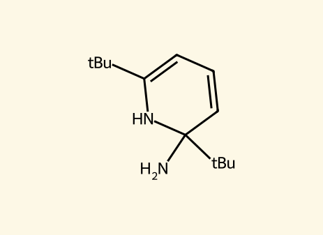 CC(C)(C)C1=CC=CC(N)(C(C)(C)C)N1